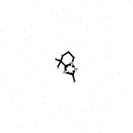 Cc1nc2n(n1)CCCC2(C)C